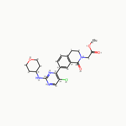 CC(C)(C)OC(=O)CN1CCc2ccc(-c3nc(NC4CCOCC4)ncc3Cl)cc2C1=O